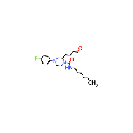 CCCCCCNC(=O)N1CCN(c2ccc(F)cc2)CC1CCCC=O